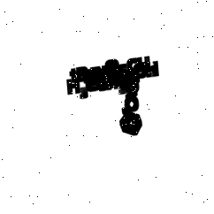 CC(C)(C)[Si](C)(C)NS(=O)(=O)c1ccc([C@@](C)(O)COCCOCc2ccccc2)s1